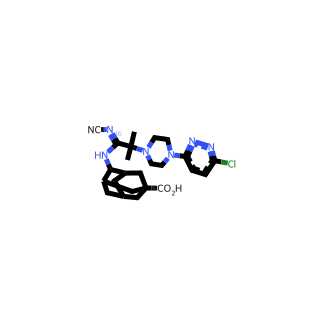 CC(C)(/C(=N/C#N)NC1C2CC3CC1CC(C(=O)O)(C3)C2)N1CCN(c2ccc(Cl)nn2)CC1